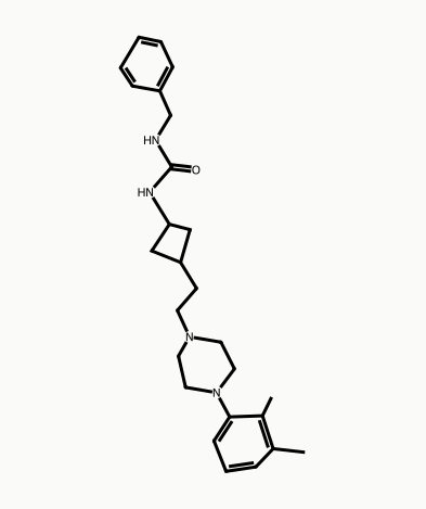 Cc1cccc(N2CCN(CCC3CC(NC(=O)NCc4ccccc4)C3)CC2)c1C